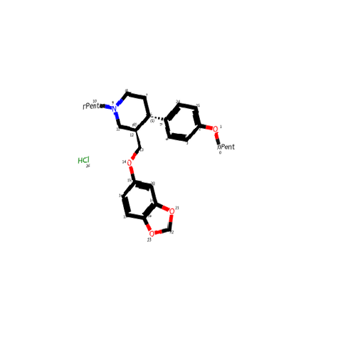 CCCCCOc1ccc([C@H]2CCN(CCCCC)C[C@@H]2COc2ccc3c(c2)OCO3)cc1.Cl